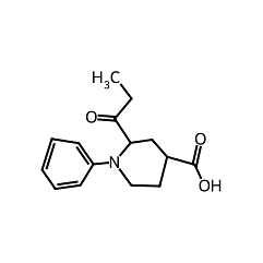 CCC(=O)C1CC(C(=O)O)CCN1c1ccccc1